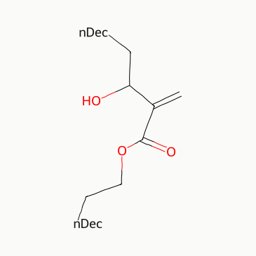 C=C(C(=O)OCCCCCCCCCCCC)C(O)CCCCCCCCCCC